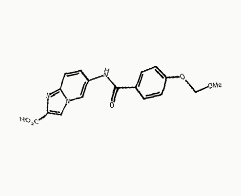 COCOc1ccc(C(=O)Nc2ccc3nc(C(=O)O)cn3c2)cc1